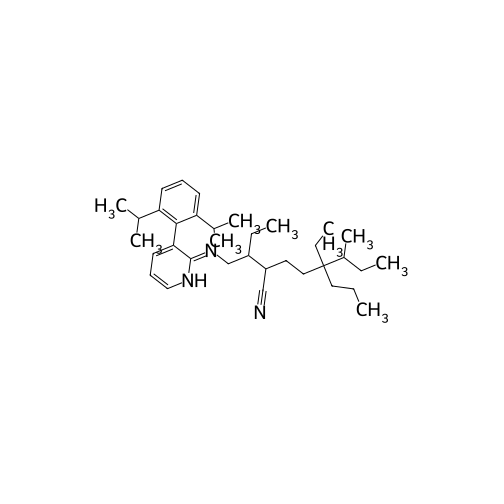 CCCC(CC)(CCC(C#N)C(CC)C/N=c1\[nH]cccc1-c1c(C(C)C)cccc1C(C)C)C(C)CC